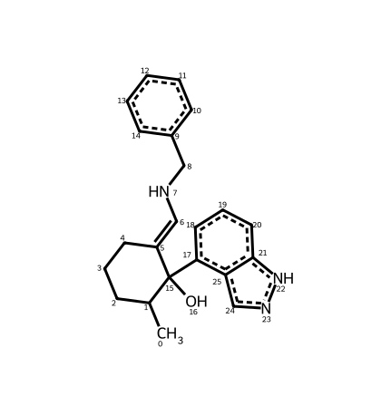 CC1CCC/C(=C\NCc2ccccc2)C1(O)c1cccc2[nH]ncc12